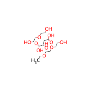 CCOCCOCCO.O=C(O)CC(O)C(=O)O.OCCOCCO